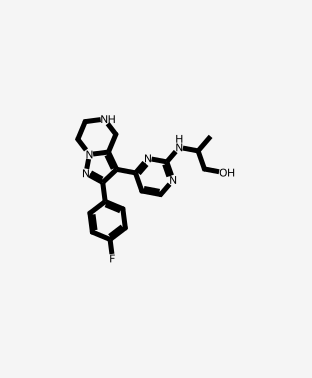 CC(CO)Nc1nccc(-c2c(-c3ccc(F)cc3)nn3c2CNCC3)n1